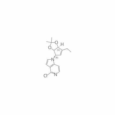 CCC1=C[C@@H](n2ccc3c(Cl)nccc32)C2OC(C)(C)O[C@@H]12